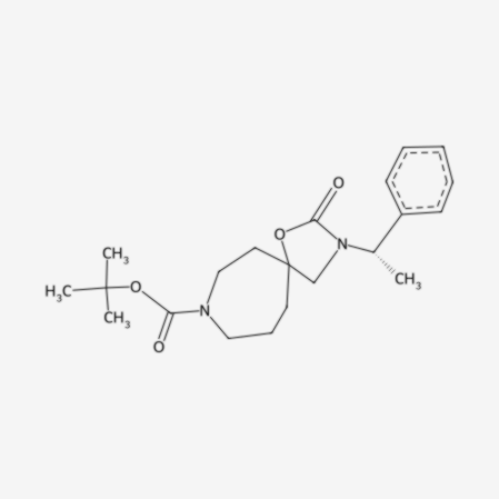 C[C@@H](c1ccccc1)N1CC2(CCCN(C(=O)OC(C)(C)C)CC2)OC1=O